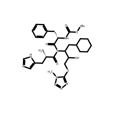 Cn1nnnc1SCC(O)C(CC1CCCCC1)N(C(=O)[C@H](Cc1ccccc1)NC(=O)OC(C)(C)C)C(=O)[C@@H](N)Cc1cnc[nH]1